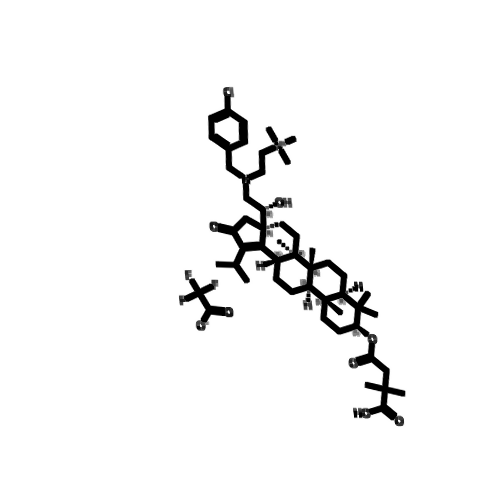 CC(C)C1=C2[C@H]3CC[C@@H]4[C@@]5(C)CC[C@H](OC(=O)CC(C)(C)C(=O)O)C(C)(C)[C@@H]5CC[C@@]4(C)[C@]3(C)CC[C@@]2([C@@H](O)CN(CC[N+](C)(C)C)Cc2ccc(Cl)cc2)CC1=O.O=C([O-])C(F)(F)F